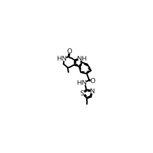 Cc1cnc(NC(=O)c2ccc3[nH]c4c(c3c2)C(C)CNC4=O)s1